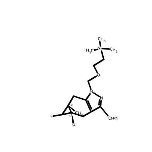 C[C@@]12Cc3c(c(C=O)nn3COCC[Si](C)(C)C)C[C@@H]1C2F